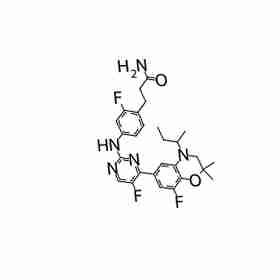 CCC(C)N1CC(C)(C)Oc2c(F)cc(-c3nc(Nc4ccc(CCC(N)=O)c(F)c4)ncc3F)cc21